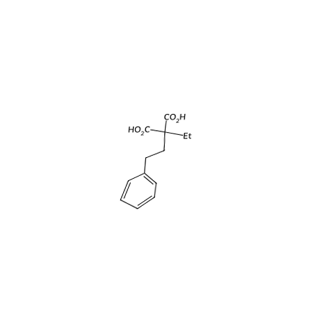 CCC(CCc1ccccc1)(C(=O)O)C(=O)O